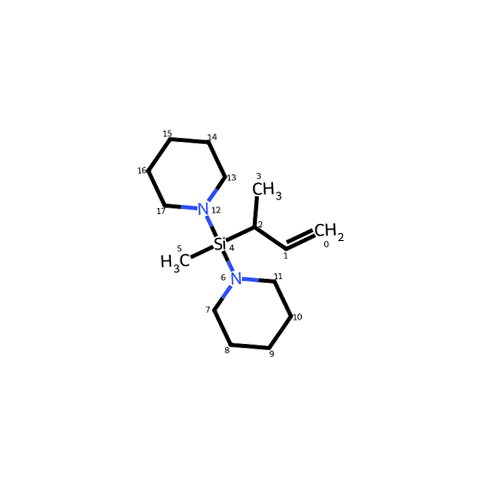 C=CC(C)[Si](C)(N1CCCCC1)N1CCCCC1